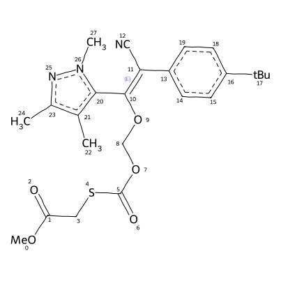 COC(=O)CSC(=O)OCO/C(=C(/C#N)c1ccc(C(C)(C)C)cc1)c1c(C)c(C)nn1C